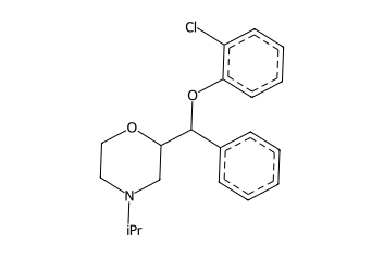 CC(C)N1CCOC(C(Oc2ccccc2Cl)c2ccccc2)C1